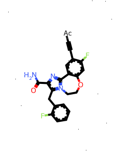 CC(=O)C#Cc1cc2c(cc1F)OCCn1c-2nc(C(N)=O)c1Cc1ccccc1F